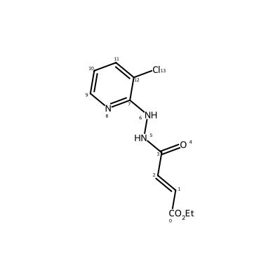 CCOC(=O)/C=C/C(=O)NNc1ncccc1Cl